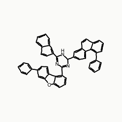 c1ccc(-c2ccc3c(c2)oc2cccc(C4=NC(c5ccc6c(ccc7cccc(-c8ccccc8)c76)c5)NC(c5ccc6ccccc6c5)=N4)c23)cc1